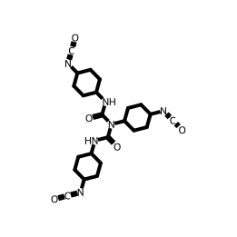 O=C=NC1CCC(NC(=O)N(C(=O)NC2CCC(N=C=O)CC2)C2CCC(N=C=O)CC2)CC1